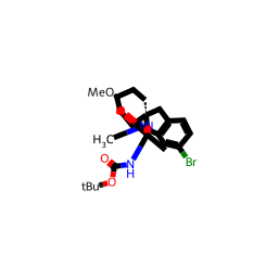 CO[C@H]1CC[C@]2(CC1)Cc1ccc(Br)cc1C21N=C(NC(=O)OC(C)(C)C)N(C)C1=O